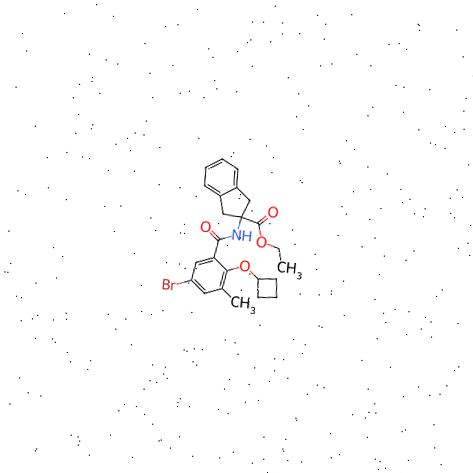 CCOC(=O)C1(NC(=O)c2cc(Br)cc(C)c2OC2CCC2)Cc2ccccc2C1